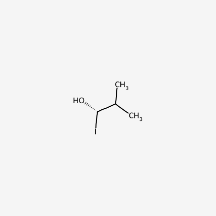 CC(C)[C@@H](O)I